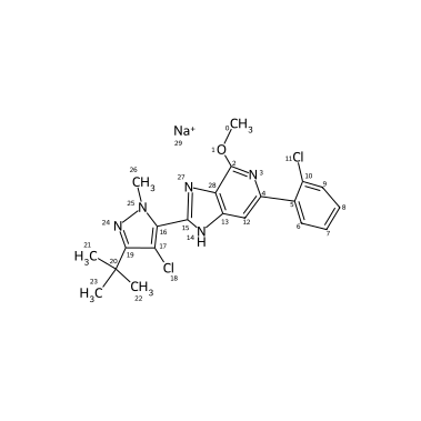 COc1nc(-c2ccccc2Cl)cc2[nH]c(-c3c(Cl)c(C(C)(C)C)nn3C)nc12.[Na+]